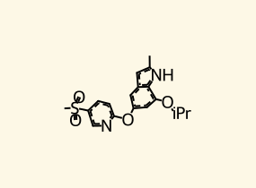 Cc1cc2cc(Oc3ccc(S(C)(=O)=O)cn3)cc(OC(C)C)c2[nH]1